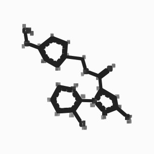 COc1ccc(COC(=O)c2cc(Br)nn2-c2ncccc2Cl)cc1